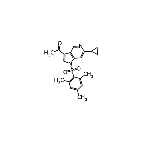 CC(=O)c1cn(S(=O)(=O)c2c(C)cc(C)cc2C)c2cc(C3CC3)ncc12